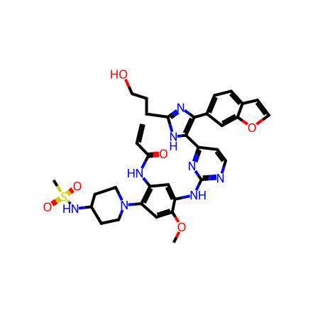 C=CC(=O)Nc1cc(Nc2nccc(-c3[nH]c(CCCO)nc3-c3ccc4ccoc4c3)n2)c(OC)cc1N1CCC(NS(C)(=O)=O)CC1